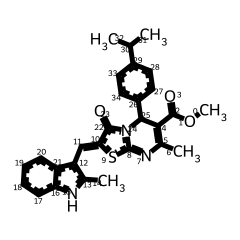 COC(=O)C1=C(C)N=c2s/c(=C\c3c(C)[nH]c4ccccc34)c(=O)n2C1c1ccc(C(C)C)cc1